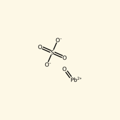 O=S(=O)([O-])[O-].[O]=[Pb+2]